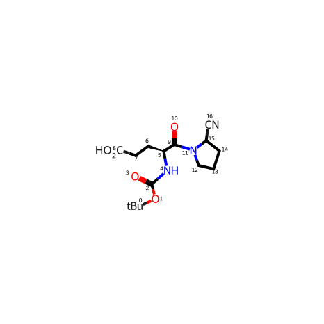 CC(C)(C)OC(=O)N[C@@H](CCC(=O)O)C(=O)N1CCCC1C#N